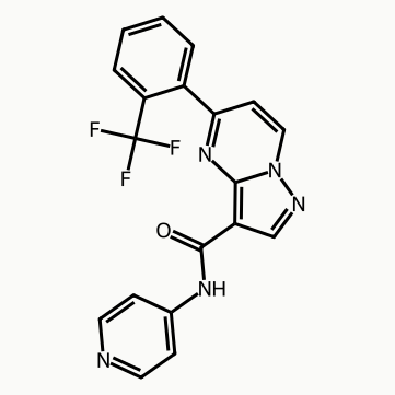 O=C(Nc1ccncc1)c1cnn2ccc(-c3ccccc3C(F)(F)F)nc12